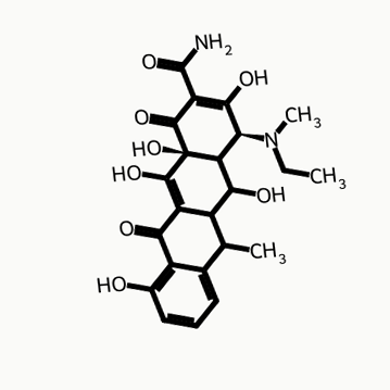 CCN(C)[C@@H]1C(O)=C(C(N)=O)C(=O)[C@@]2(O)C(O)=C3C(=O)c4c(O)cccc4C(C)C3C(O)C12